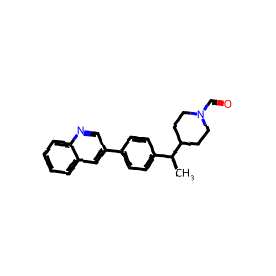 CC(c1ccc(-c2cnc3ccccc3c2)cc1)C1CCN(C=O)CC1